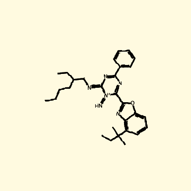 CCCCC(CC)CN=C1N=C(c2ccccc2)N=C(c2nc3c(C(C)(C)CC)cccc3o2)[N+]1=N